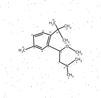 COC(CN(C)C)c1cc(C)ccc1C(C)(C)C